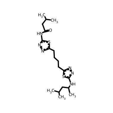 CC(C)CC(=O)Nc1nnc(CCCCc2nnc(NC(C)CC(C)C)s2)s1